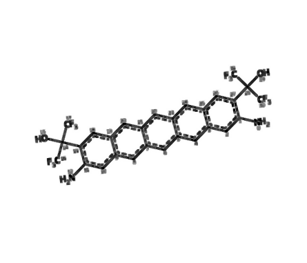 Nc1cc2cc3cc4cc5cc(N)c(C(O)(C(F)(F)F)C(F)(F)F)cc5cc4cc3cc2cc1C(O)(C(F)(F)F)C(F)(F)F